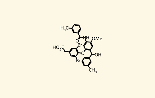 COc1cc(C(O)c2cccc(C)c2)c(Oc2c(Br)cc(CC(=O)O)cc2Br)cc1NC(=O)c1cccc(C)c1